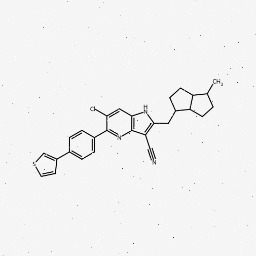 CC1CCC2C(Cc3[nH]c4cc(Cl)c(-c5ccc(-c6ccsc6)cc5)nc4c3C#N)CCC12